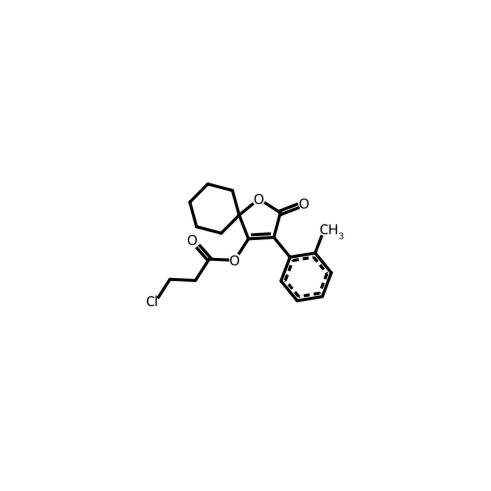 Cc1ccccc1C1=C(OC(=O)CCCl)C2(CCCCC2)OC1=O